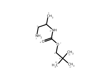 CC(CN)NC(=O)OCC(C)(C)C